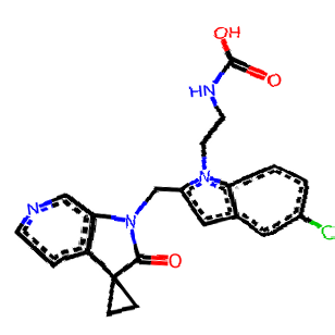 O=C(O)NCCn1c(CN2C(=O)C3(CC3)c3ccncc32)cc2cc(Cl)ccc21